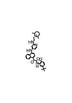 COc1ccc(C(C)(C)C)cc1NC(=O)C(=O)c1ccc(Nc2ccnc(NCCN3C(C)CCCC3C)c2)c2ccccc12